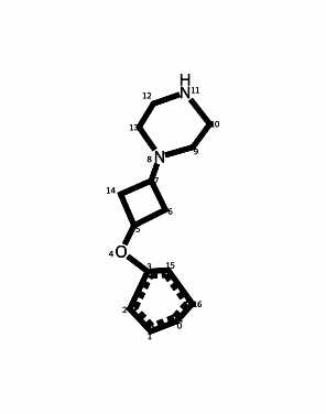 [c]1ccc(OC2CC(N3CCNCC3)C2)cc1